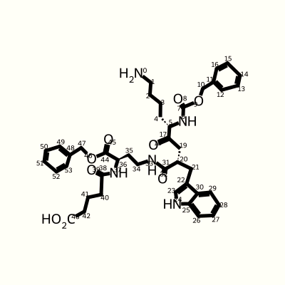 NCCCC[C@H](NC(=O)OCc1ccccc1)C(=O)C[C@H](Cc1c[nH]c2ccccc12)C(=O)NCC[C@@H](NC(=O)CCCC(=O)O)C(=O)OCc1ccccc1